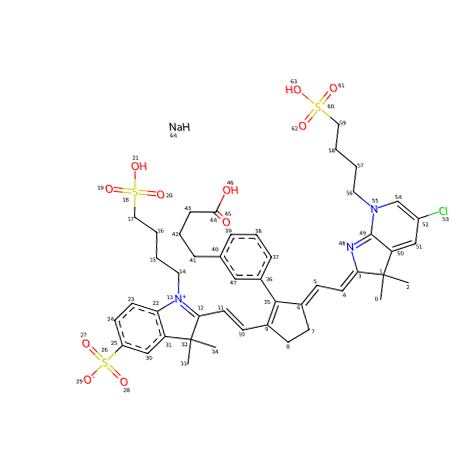 CC1(C)C(=CC=C2CCC(C=CC3=[N+](CCCCS(=O)(=O)O)c4ccc(S(=O)(=O)[O-])cc4C3(C)C)=C2c2cccc(CCCC(=O)O)c2)N=C2C1=CC(Cl)=CN2CCCCS(=O)(=O)O.[NaH]